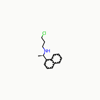 C[C@@H](NCCCCl)c1cccc2ccccc12